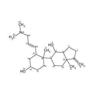 C=C1CCC2C(O)C(C3(C)CCC(O)CC3C=CCN(C)C)CCC12C